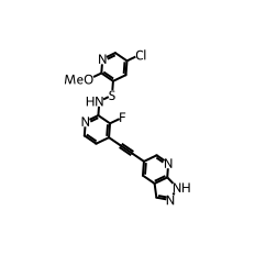 COc1ncc(Cl)cc1SNc1nccc(C#Cc2cnc3[nH]ncc3c2)c1F